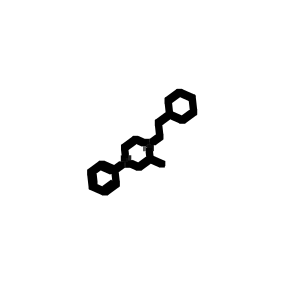 CC1CN(c2ccccc2)CCN1CCC1CCCCC1